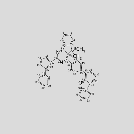 CC1(C)c2ccccc2-c2nc(-c3cccc(-c4ccccn4)c3)nc(-c3ccc(-c4cccc5c4oc4ccccc45)cc3)c21